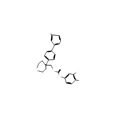 O=C(NCC1(c2ccc(-c3cccc(Cl)c3)cc2)CCNCC1)Nc1ccc(Cl)c(C(F)(F)F)c1